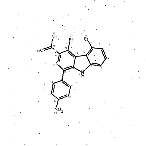 CCc1cccc2[nH]c3c(-c4ccc([N+](=O)[O-])cc4)nc(C(N)=O)c(CC)c3c12